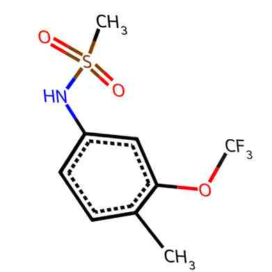 Cc1ccc(NS(C)(=O)=O)cc1OC(F)(F)F